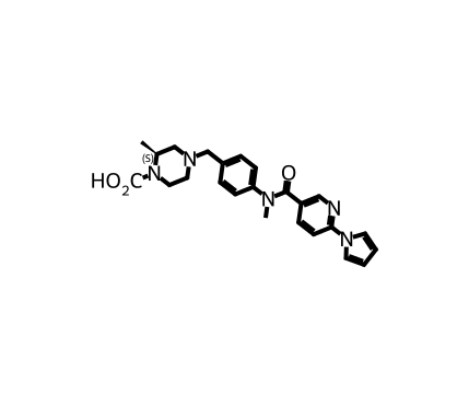 C[C@H]1CN(Cc2ccc(N(C)C(=O)c3ccc(-n4cccc4)nc3)cc2)CCN1C(=O)O